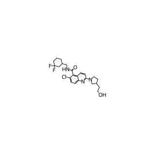 O=C(NCC1CCCC(F)(F)C1)c1c(Cl)ccc2nc(N3CCC(CCO)C3)ccc12